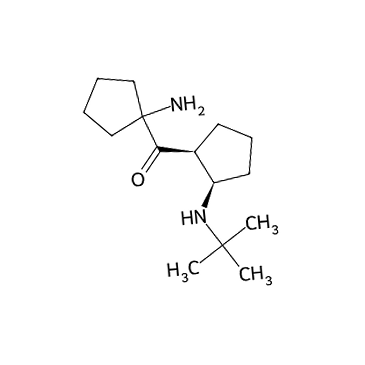 CC(C)(C)N[C@@H]1CCC[C@@H]1C(=O)C1(N)CCCC1